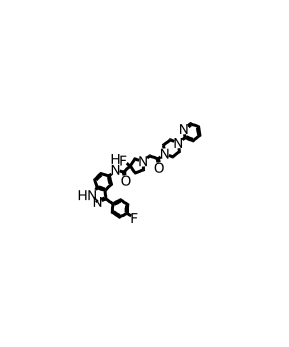 O=C(CN1CCC(F)(C(=O)Nc2ccc3[nH]nc(-c4ccc(F)cc4)c3c2)C1)N1CCN(c2ccccn2)CC1